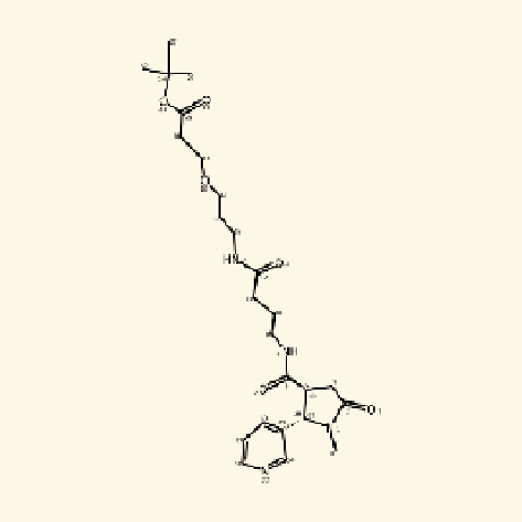 CN1C(=O)C[C@H](C(=O)NCCCC(=O)NCCCOCCC(=O)OC(C)(C)C)[C@H]1c1cccnc1